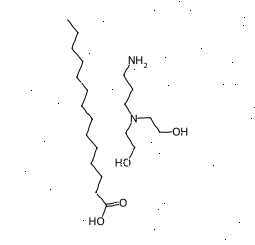 CCCCCCCCCCCCCC(=O)O.NCCCN(CCO)CCO